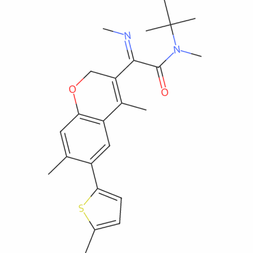 C/N=C(/C(=O)N(C)C(C)(C)C)C1=C(C)c2cc(-c3ccc(C)s3)c(C)cc2OC1